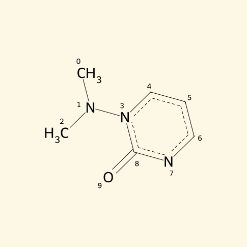 CN(C)n1cccnc1=O